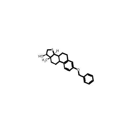 C[C@]12CCC3c4ccc(OCc5ccccc5)cc4CCC3[C@@H]1SC[C@@H]2O